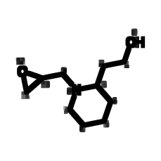 OCCC1CCCCN1CC1CO1